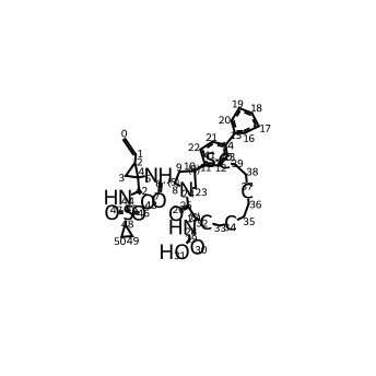 C=CC1CC1(NC(=O)[C@@H]1C[C@@]2(c3ccc(-c4ccccc4)cc3)CN1C(=O)[C@@H](NC(=O)O)CCCCCCCCCS2)C(=O)NS(=O)(=O)C1CC1